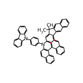 CC1(C)c2cc(N(c3ccc(-n4c5ccccc5c5ccccc54)cc3)c3ccc4ccccc4c3-c3cccc4ccccc34)ccc2-c2cc3ccccc3cc21